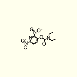 CCN(CC)C(=O)Oc1ccc([N+](=O)[O-])nc1[N+](=O)[O-]